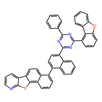 c1ccc(-c2nc(-c3ccc(-c4cccc5c4ccc4c6cccnc6sc54)c4ccccc34)nc(-c3cccc4oc5ccccc5c34)n2)cc1